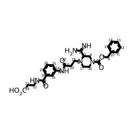 N=C(N)C1CN(C(=O)OCc2ccccc2)CCN1CCC(=O)Nc1cccc(C(=O)NCCC(=O)O)c1